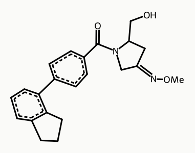 CO/N=C1\CC(CO)N(C(=O)c2ccc(-c3cccc4c3CCC4)cc2)C1